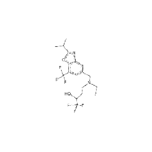 CCN(CCC(O)C(F)(F)F)Cc1cc(C(F)(F)F)c2oc(C(C)C)nc2c1